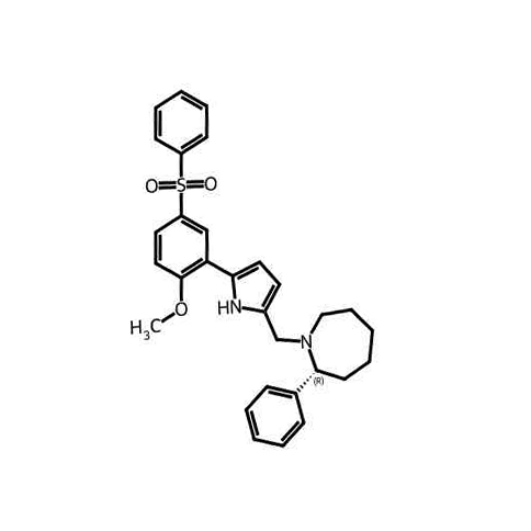 COc1ccc(S(=O)(=O)c2ccccc2)cc1-c1ccc(CN2CCCCC[C@@H]2c2ccccc2)[nH]1